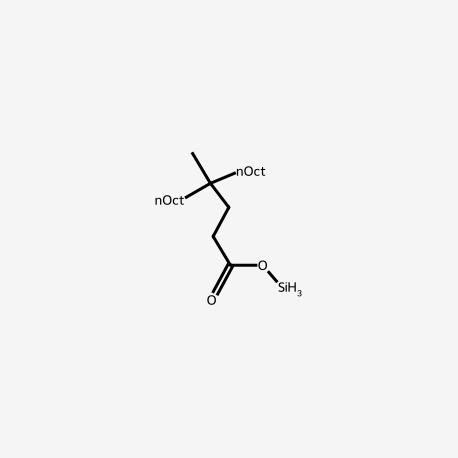 CCCCCCCCC(C)(CCCCCCCC)CCC(=O)O[SiH3]